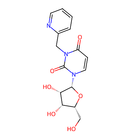 O=c1ccn([C@@H]2O[C@H](CO)[C@H](O)[C@@H]2O)c(=O)n1Cc1ccccn1